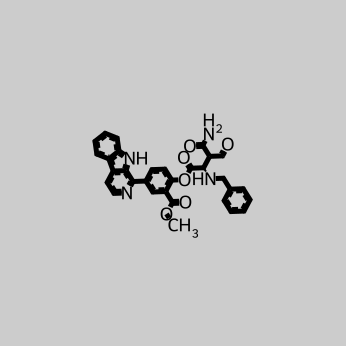 COC(=O)c1cc(-c2nccc3c2[nH]c2ccccc23)ccc1OC(=O)[C@@H](NCc1ccccc1)C(C=O)C(N)=O